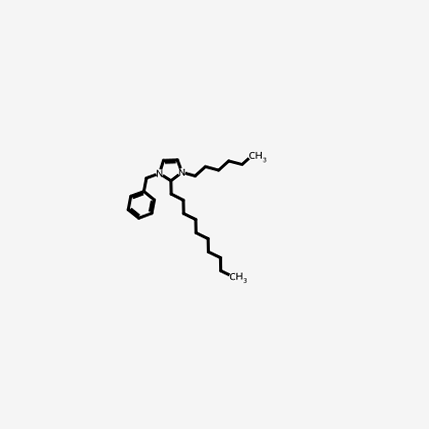 CCCCCCCCCCC1N(CCCCCC)C=CN1Cc1ccccc1